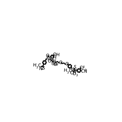 Cc1ncsc1-c1ccc(CNC(=O)[C@@H]2C[C@@H](O)CN2C(=O)[C@@H](NC(=O)CCOCCCOc2ccc(N3C(=S)N(c4ccc(C#N)c(C(F)(F)F)c4)C(=O)C3(C)C)cc2)C(C)(C)C)cc1